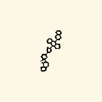 c1ccc2cc(-c3c4ccccc4c(-c4ccc(-c5ccc6sc7c8ccccc8ccc7c6c5)cc4)c4ccccc34)ccc2c1